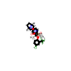 CC(C)(Oc1ccc(Cl)cc1C(F)(F)F)C(=O)N[C@H]1C[C@H]2CC[C@@H](C1)N2c1ccc(S(C)(=O)=O)cc1